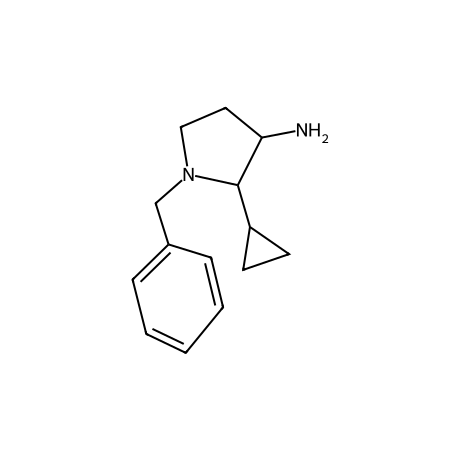 NC1CCN(Cc2ccccc2)C1C1CC1